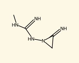 CNC(=N)NN1CC1=N